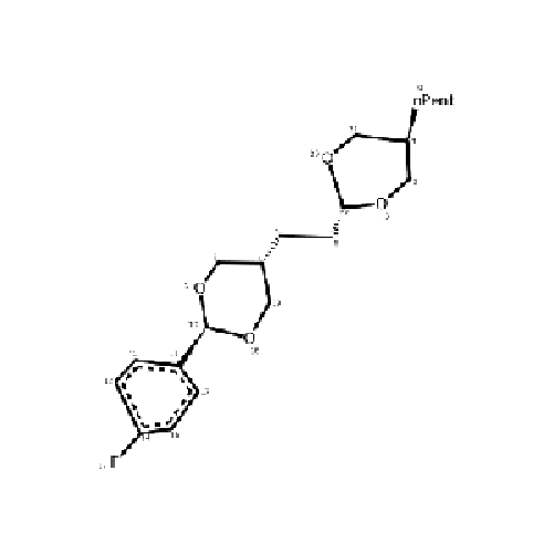 CCCCC[C@H]1CO[C@H](CC[C@H]2CO[C@H](c3ccc(F)cc3)OC2)OC1